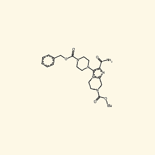 CC(C)(C)OC(=O)N1CCn2c(nc(C(N)=O)c2N2CCN(C(=O)OCc3ccccc3)CC2)C1